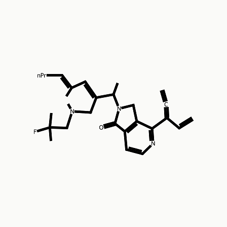 C=C=C(C=C)c1nccc2c1CN(C(C)/C(=C/C(C)=C/CCC)CN(C)CC(C)(C)F)C2=O